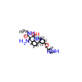 CCCNC(=O)C1=C(N)c2cccc(-c3cc(OCc4c[nH]cn4)ccc3F)c2NC1O